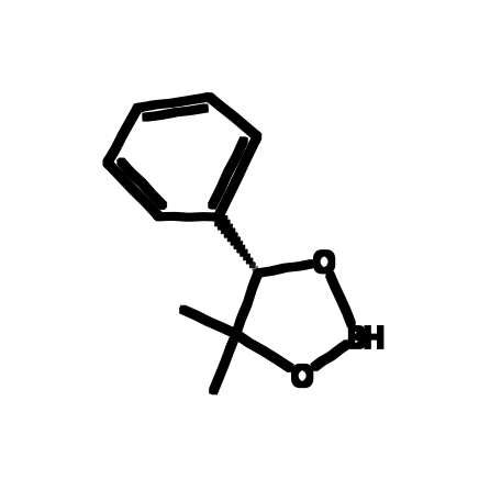 CC1(C)OBO[C@H]1c1ccccc1